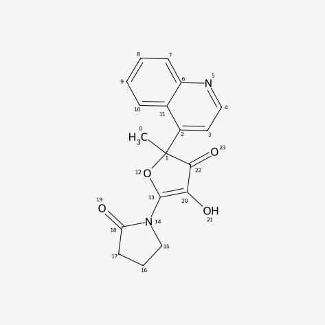 CC1(c2ccnc3ccccc23)OC(N2CCCC2=O)=C(O)C1=O